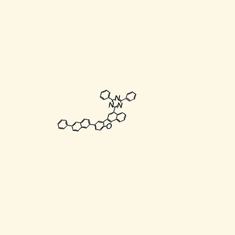 c1ccc(-c2ccc3cc(-c4ccc5oc6c7ccccc7c(-c7nc(-c8ccccc8)nc(-c8ccccc8)n7)cc6c5c4)ccc3c2)cc1